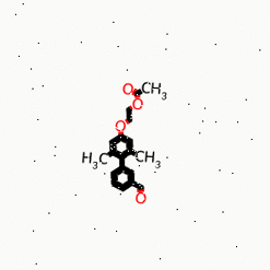 CC(=O)OCCOc1cc(C)c(-c2cccc(C=O)c2)c(C)c1